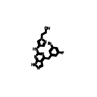 OCCn1cc(Nc2nc(Cc3cc(F)cc(Br)c3)c3cn[nH]c3n2)cn1